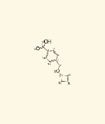 O=C(O)c1ccc(COC2CCC2)cc1